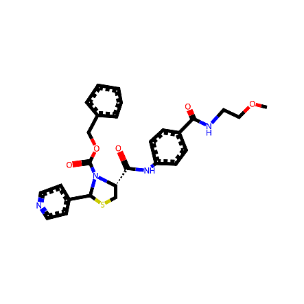 COCCNC(=O)c1ccc(NC(=O)[C@@H]2CSC(c3ccncc3)N2C(=O)OCc2ccccc2)cc1